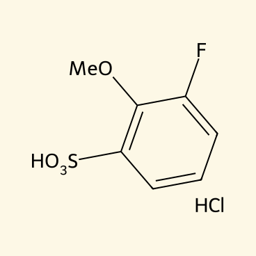 COc1c(F)cccc1S(=O)(=O)O.Cl